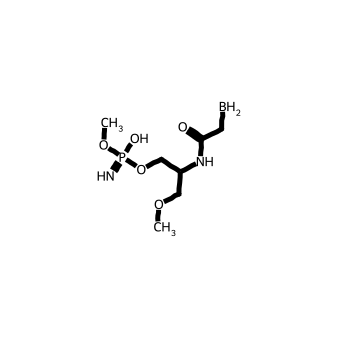 BCC(=O)NC(COC)COP(=N)(O)OC